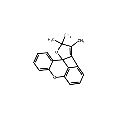 CC1=C2c3cccc4c3C2(OC1(C)C)c1ccccc1O4